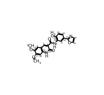 COc1cc2cc(C(=O)Nc3cc(-c4ncco4)ccc3C)c(=O)[nH]c2cc1OC